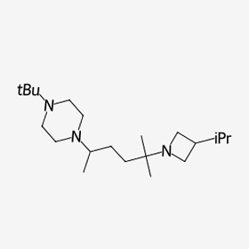 CC(C)C1CN(C(C)(C)CCC(C)N2CCN(C(C)(C)C)CC2)C1